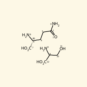 NC(=O)CC[C@@H](N)C(=O)O.NC(CO)C(=O)O